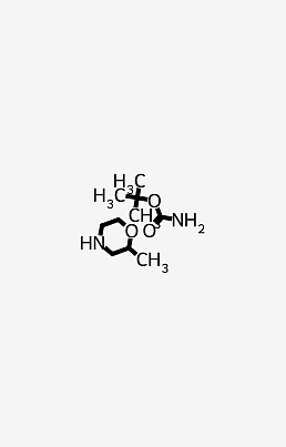 CC(C)(C)OC(N)=O.CC1CNCCO1